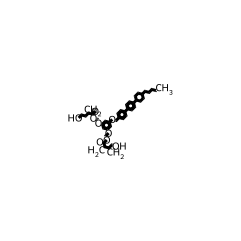 C=C(CO)C(=C)C(=O)OCOc1cc(OCOC(=O)C(=C)CCO)cc(OCc2ccc(-c3ccc(C4CCC(CCCCC)CC4)cc3)cc2)c1